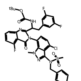 COc1ccc(CN(c2nn(C)c3c(-n4c(C(Cc5cc(F)cc(F)c5)NC(=O)OC(C)(C)C)nc5cccc(F)c5c4=O)ccc(Cl)c23)S(C)(=O)=O)cc1